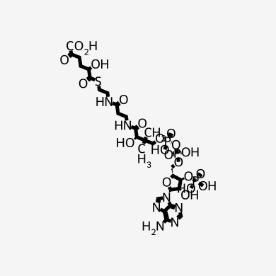 CC(C)(COP(=O)(O)OP(=O)(O)OC[C@H]1O[C@@H](n2cnc3c(N)ncnc32)[C@H](O)[C@@H]1OP(=O)(O)O)[C@@H](O)C(=O)NCCC(=O)NCCSC(=O)C(O)CCC(=O)C(=O)O